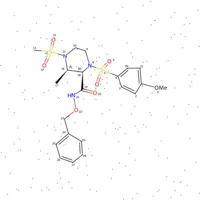 COc1ccc(S(=O)(=O)N2CCN(S(C)(=O)=O)[C@H](C)[C@@H]2C(=O)NOCc2ccccc2)cc1